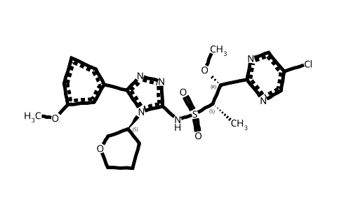 COc1cccc(-c2nnc(NS(=O)(=O)[C@@H](C)[C@H](OC)c3ncc(Cl)cn3)n2[C@H]2CCCOC2)c1